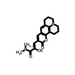 CN(C)C(=O)/C(C#N)=C/c1cc2cc3c4c(c2oc1=O)CCCN4CCC3